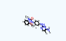 CCN(C(=O)N[C@H]1CC[C@@H](Nc2ncc(C)c(N(C)C)n2)CC1)c1ccccc1OC(F)(F)F